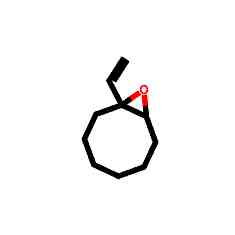 C=CC12CCCCCCC1O2